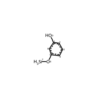 Oc1cccc(O[SiH3])c1